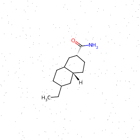 CCC1CCC2C[C@H](C(N)=O)CC[C@@H]2C1